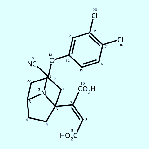 N#CCN1C2CCC1(/C(=C\C(=O)O)C(=O)O)CC(Oc1ccc(Cl)c(Cl)c1)C2